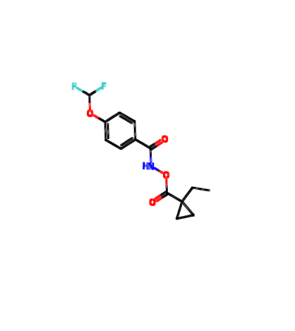 CCC1(C(=O)ONC(=O)c2ccc(OC(F)F)cc2)CC1